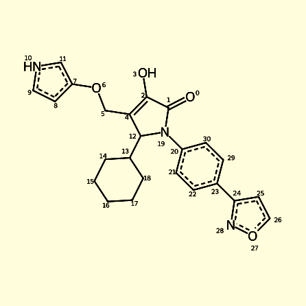 O=C1C(O)=C(COc2cc[nH]c2)C(C2CCCCC2)N1c1ccc(-c2ccon2)cc1